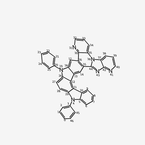 c1ccc(-n2c3ccccc3c3c4c5cc6c(cc5n(-c5ccccc5)c4ccc32)c2ncccc2n2c3cccnc3nc62)cc1